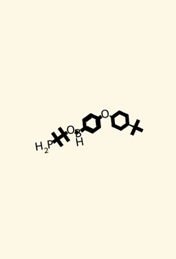 CC(C)(P)C(C)(C)OBc1ccc(O[C@H]2CC[C@H](C(C)(C)C)CC2)cc1